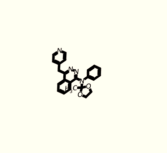 CC1(N(c2ccccc2)c2nnc(Cc3ccncc3)c3ccccc23)OCCO1